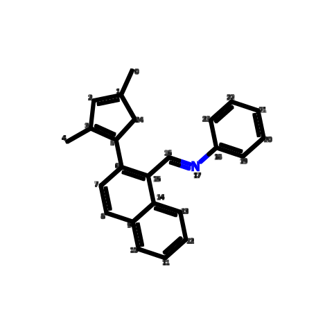 CC1=CC(C)=C(c2ccc3ccccc3c2C=Nc2ccccc2)C1